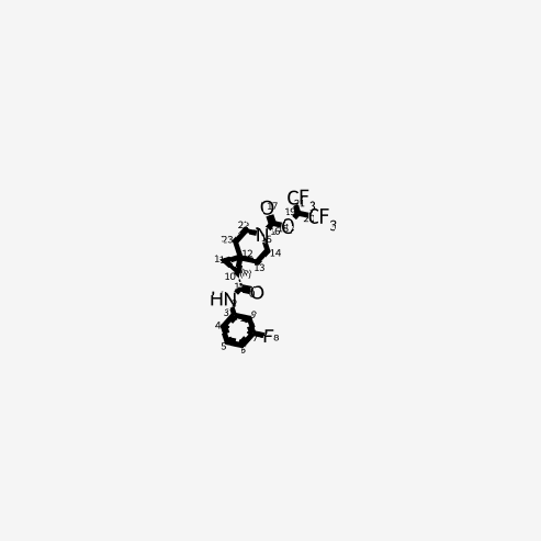 O=C(Nc1cccc(F)c1)[C@@H]1CC12CCN(C(=O)OC(C(F)(F)F)C(F)(F)F)CC2